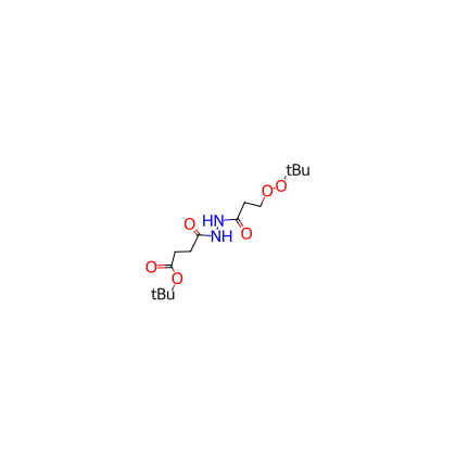 CC(C)(C)OOCCC(=O)NNC(=O)CCC(=O)OC(C)(C)C